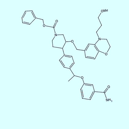 COCCCN1CCOc2ccc(COC3CN(C(=O)OCc4ccccc4)CCC3c3ccc(C(C)Oc4cccc(C(N)=O)c4)cc3)cc21